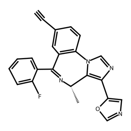 C#Cc1ccc2c(c1)C(c1ccccc1F)=N[C@@H](C)c1c(-c3cnco3)ncn1-2